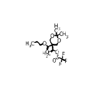 C=C(OS(=O)C(F)(F)F)C1(C(=O)OCCC)COC(C)(C)OC1